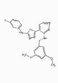 COc1cc(CNc2ncccc2-c2nnc(Nc3cccc(F)c3)o2)cc(OC)c1